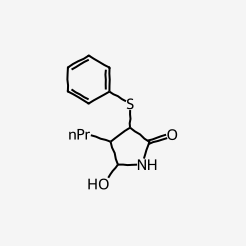 CCCC1C(O)NC(=O)C1Sc1ccccc1